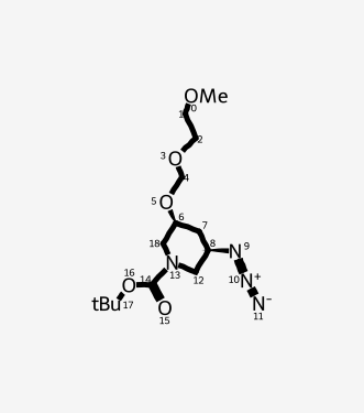 COCCOCO[C@H]1C[C@@H](N=[N+]=[N-])CN(C(=O)OC(C)(C)C)C1